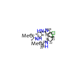 COC[C@H](C)N[C@H]1CC[C@H](Nc2cc(-c3cc(NCC4(OC)CC4)ccc3F)c(Cl)cn2)CC1